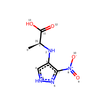 C[C@H](Nc1c[nH]nc1[N+](=O)[O-])C(=O)O